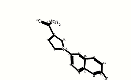 NC(=O)C1CCN(c2ccc3cc(F)ccc3c2)C1